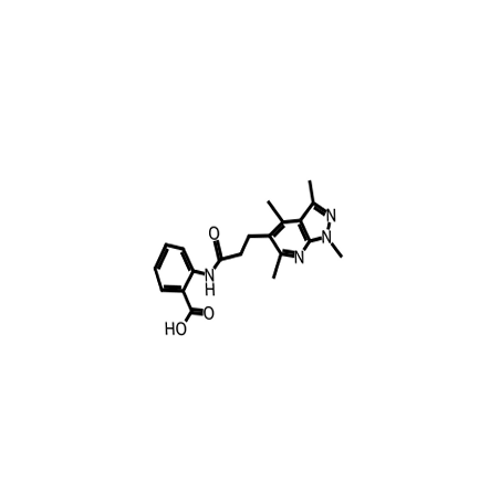 Cc1nc2c(c(C)nn2C)c(C)c1CCC(=O)Nc1ccccc1C(=O)O